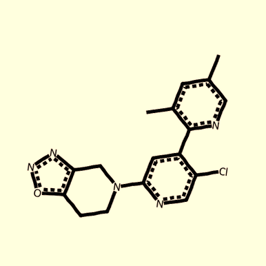 Cc1cnc(-c2cc(N3CCc4onnc4C3)ncc2Cl)c(C)c1